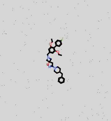 CCOc1cc(CN2CC3(CC(N4CCC(Cc5ccccc5)CC4)=NO3)C2)cc(OCC)c1-c1ccc(F)cc1